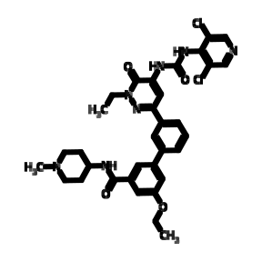 CCOc1cc(C(=O)NC2CCN(C)CC2)cc(-c2cccc(-c3cc(NC(=O)Nc4c(Cl)cncc4Cl)c(=O)n(CC)n3)c2)c1